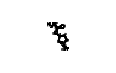 CC(C)N1CC[C@H](OC(N)=O)C1